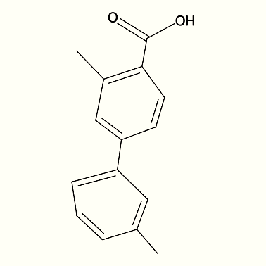 Cc1cccc(-c2ccc(C(=O)O)c(C)c2)c1